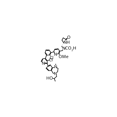 COc1nc(-c2cccc(-c3ccnc(-c4ccc5c(c4)N(C)CCN(CC(C)O)C5)c3Cl)c2Cl)ccc1CN(C[C@@H]1CCC(=O)N1)C(=O)O